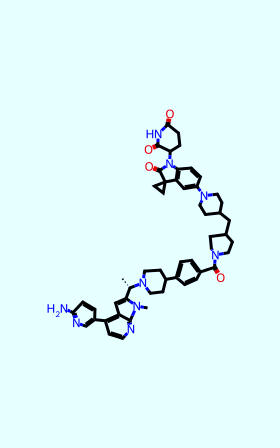 C[C@@H](c1cc2c(-c3ccc(N)nc3)ccnc2n1C)N1CCC(c2ccc(C(=O)N3CCC(CC4CCN(c5ccc6c(c5)C5(CC5)C(=O)N6C5CCC(=O)NC5=O)CC4)CC3)cc2)CC1